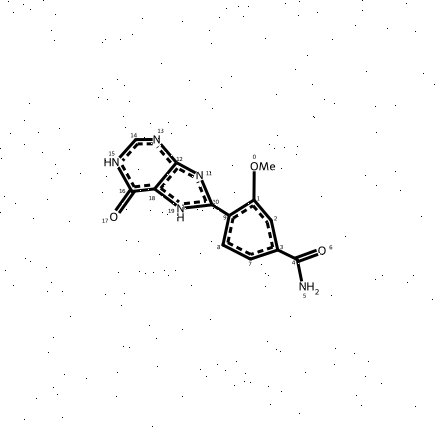 COc1cc(C(N)=O)ccc1-c1nc2nc[nH]c(=O)c2[nH]1